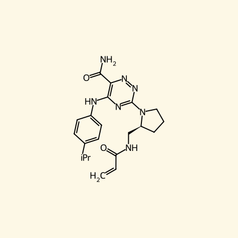 C=CC(=O)NC[C@@H]1CCCN1c1nnc(C(N)=O)c(Nc2ccc(C(C)C)cc2)n1